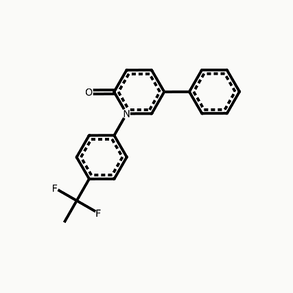 CC(F)(F)c1ccc(-n2cc(-c3ccccc3)ccc2=O)cc1